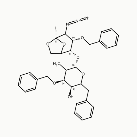 CC1[C@H](O[C@@H]2C3CO[C@H](O3)C(N=[N+]=[N-])[C@@H]2OCc2ccccc2)OC(Cc2ccccc2)[C@@H](O)[C@H]1OCc1ccccc1